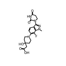 Cn1nc(N2CCC(=O)NC2=O)c2ccc(N3CCC(O)(CC(=O)O)CC3)c(F)c21